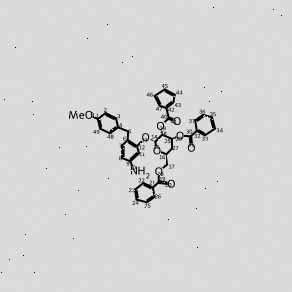 COc1ccc(Cc2ccc(N)cc2O[C@H]2O[C@H](COC(=O)c3ccccc3)C[C@H](OC(=O)c3ccccc3)[C@H]2OC(=O)c2ccccc2)cc1